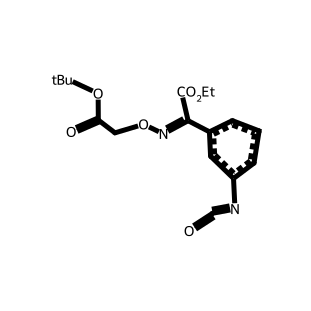 CCOC(=O)C(=NOCC(=O)OC(C)(C)C)c1cccc(N=C=O)c1